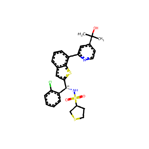 CC(C)(O)c1ccnc(-c2cccc3cc([C@H](NS(=O)(=O)C4CCSC4)c4ccccc4Cl)sc23)c1